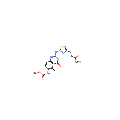 COC(=O)CCc1csc(Nc2nc3ccc(NC(=O)OC(C)(C)C)c(C)c3c(=O)o2)n1